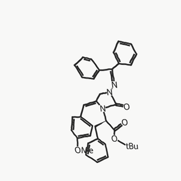 COc1ccc(/C=C2/CN(N=C(c3ccccc3)c3ccccc3)C(=O)N2[C@H](Cc2ccccc2)C(=O)OC(C)(C)C)cc1